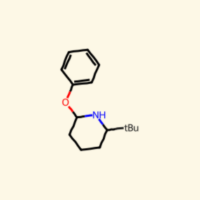 CC(C)(C)C1CCCC(Oc2ccccc2)N1